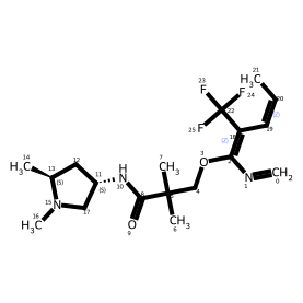 C=N/C(OCC(C)(C)C(=O)N[C@H]1C[C@H](C)N(C)C1)=C(\C=C/C)C(F)(F)F